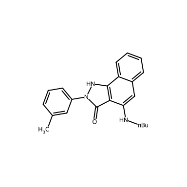 CCCCNc1cc2ccccc2c2[nH]n(-c3cccc(C)c3)c(=O)c12